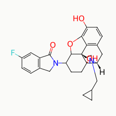 O=C1c2cc(F)ccc2CN1C1CC[C@@]2(O)[C@H]3Cc4ccc(O)c5c4[C@@]2(CCN3CC2CC2)C1O5